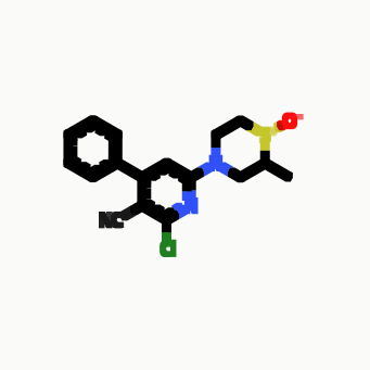 CC1CN(c2cc(-c3ccccc3)c(C#N)c(Cl)n2)CC[S+]1[O-]